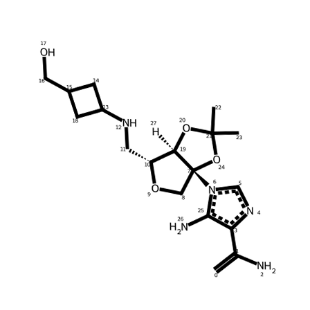 C=C(N)c1ncn([C@@]23CO[C@H](CNC4CC(CO)C4)[C@H]2OC(C)(C)O3)c1N